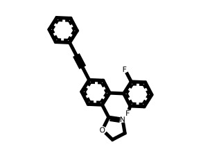 Fc1cccc(F)c1-c1cc(C#Cc2ccccc2)ccc1C1=NCCO1